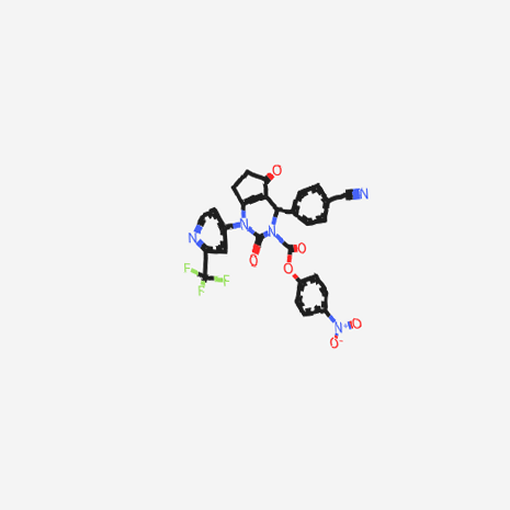 N#Cc1ccc(C2C3=C(CCC3=O)N(c3ccnc(C(F)(F)F)c3)C(=O)N2C(=O)Oc2ccc([N+](=O)[O-])cc2)cc1